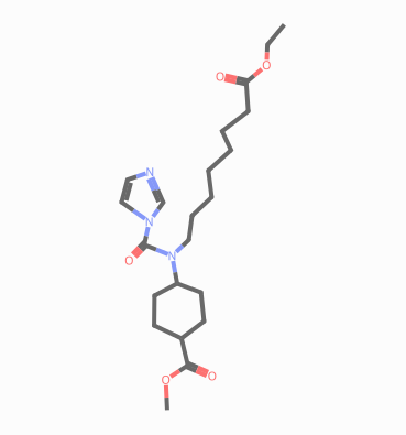 CCOC(=O)CCCCCCCN(C(=O)n1ccnc1)C1CCC(C(=O)OC)CC1